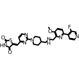 COc1ccc(-c2ccncc2F)nc1CNCC1CCN(c2nccc(/C=C3\SC(=O)NC3=O)n2)CC1